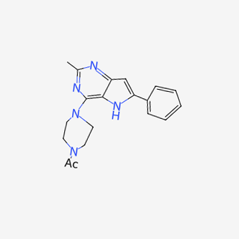 CC(=O)N1CCN(c2nc(C)nc3cc(-c4ccccc4)[nH]c23)CC1